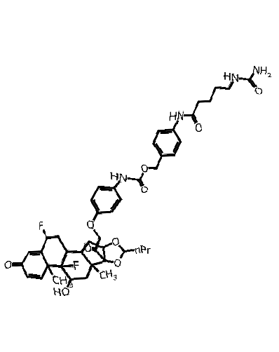 CCCC1OC2CC3C4C[C@H](F)C5=CC(=O)C=CC5(C)[C@@]4(F)C(O)CC3(C)C2(C(=O)COc2ccc(NC(=O)OCc3ccc(NC(=O)CCCCNC(N)=O)cc3)cc2)O1